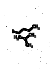 CCCCI.CN(C)C